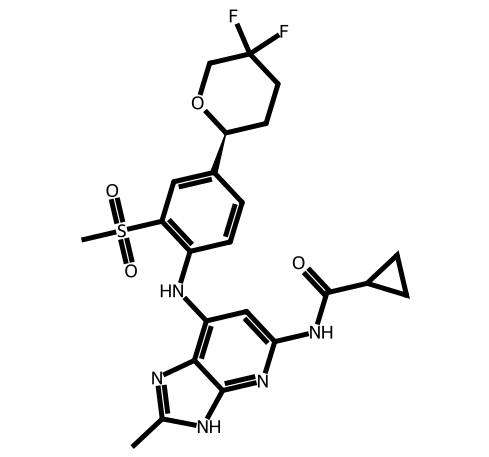 Cc1nc2c(Nc3ccc([C@@H]4CCC(F)(F)CO4)cc3S(C)(=O)=O)cc(NC(=O)C3CC3)nc2[nH]1